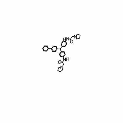 O=C(CN1CCCC1)Nc1ccc(C(c2ccc(NC(=O)CN3CCCC3)cc2)c2ccc(-c3ccccc3)cc2)cc1